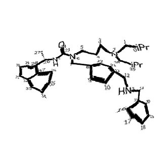 CC(C)CN(CCCN(Cc1ccc(CNCc2ccccc2)cc1)C(=O)N[C@@H](C)c1cccc2ccccc12)CC(C)C